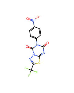 O=c1nc2sc(C(F)(F)F)nn2c(=O)n1-c1ccc([N+](=O)[O-])cc1